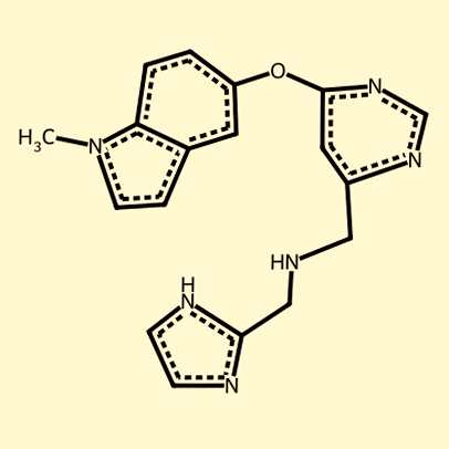 Cn1ccc2cc(Oc3cc(CNCc4ncc[nH]4)ncn3)ccc21